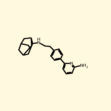 Nc1cccc(-c2ccc(CCNC3C4CC5CC(C4)CC3C5)cc2)n1